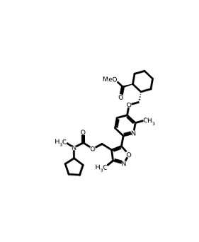 COC(=O)[C@H]1CCCC[C@@H]1COc1ccc(-c2onc(C)c2COC(=O)N(C)C2CCCC2)nc1C